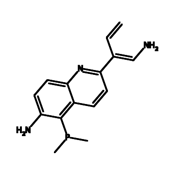 C=C/C(=C\N)c1ccc2c(P(C)C)c(N)ccc2n1